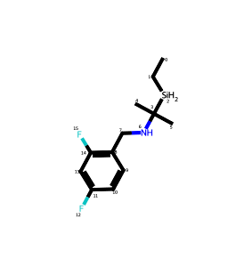 CC[SiH2]C(C)(C)NCc1ccc(F)cc1F